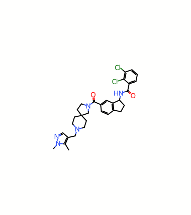 Cc1c(CN2CCC3(CC2)CCN(C(=O)c2ccc4c(c2)C(NC(=O)c2cccc(Cl)c2Cl)CC4)C3)cnn1C